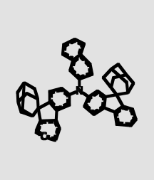 c1ccc2c(c1)-c1cc(N(c3ccc4c(c3)C3(c5ccccc5-4)C4CC5CC(C4)CC3C5)c3ccc4ccccc4c3)ccc1C21C2CC3CC(C2)CC1C3